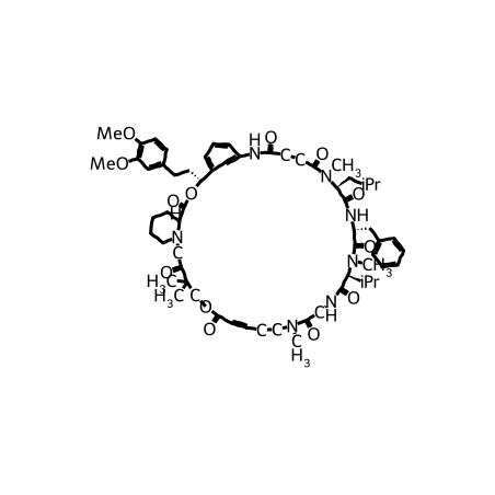 COc1ccc(CC[C@H]2OC(=O)[C@@H]3CCCCN3CC(=O)C(C)(C)COC(=O)/C=C\CCN(C)C(=O)CNC(=O)[C@H](C(C)C)N(C)C(=O)[C@@H](Cc3ccccc3)NC(=O)[C@H](CC(C)C)N(C)C(=O)CCC(=O)Nc3cccc2c3)cc1OC